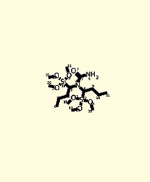 CCCC(N(C(N)=O)C(CCC)[Si](OC)(OC)OC)[Si](OC)(OC)OC